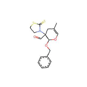 CC1=COC(OCc2ccccc2)C(C=O)(N2CCSC2=S)C1